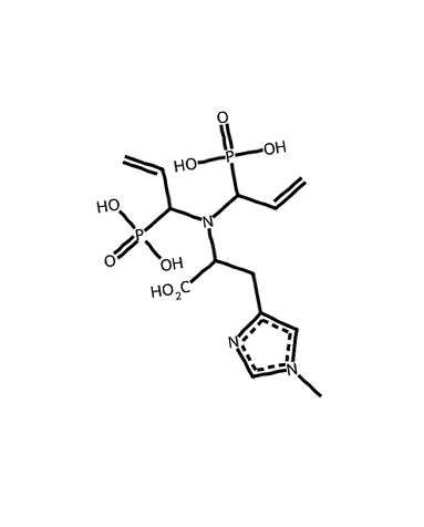 C=CC(N(C(Cc1cn(C)cn1)C(=O)O)C(C=C)P(=O)(O)O)P(=O)(O)O